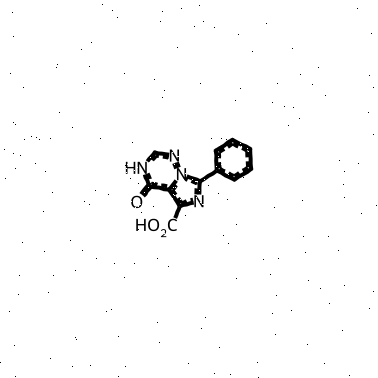 O=C(O)c1nc(-c2ccccc2)n2nc[nH]c(=O)c12